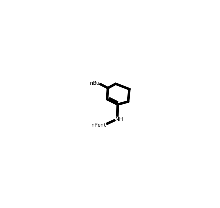 CCCCCNC1=CC(CCCC)CCC1